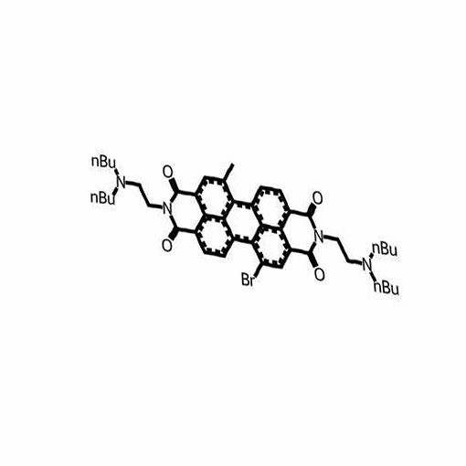 CCCCN(CCCC)CCN1C(=O)c2ccc3c4c(Br)cc5c6c(ccc(c7c(C)cc(c2c37)C1=O)c64)C(=O)N(CCN(CCCC)CCCC)C5=O